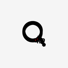 O=C(NOCc1ccccc1)c1ccc(N2CCCCCCCCCCCCCCCCCCCCCCCCCCCCCCCCCCCCCCCCCCCCCCCCC3(CC2)OCCO3)cc1